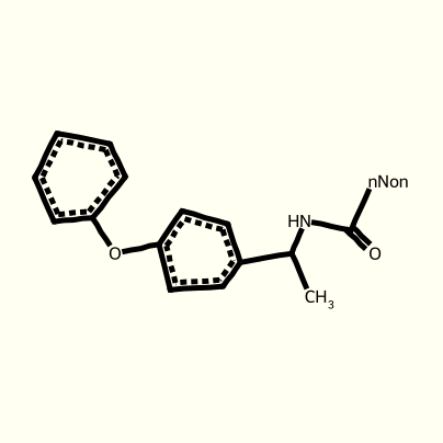 CCCCCCCCCC(=O)NC(C)c1ccc(Oc2ccccc2)cc1